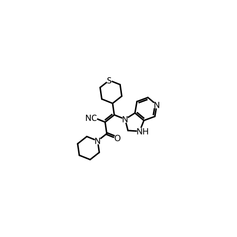 N#CC(C(=O)N1CCCCC1)=C(C1CCSCC1)N1CNc2cnccc21